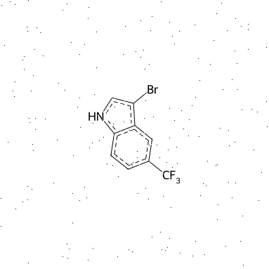 FC(F)(F)c1ccc2[nH]cc(Br)c2c1